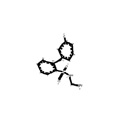 CC(C)CNS(=O)(=O)c1ccccc1-c1cccc(F)c1